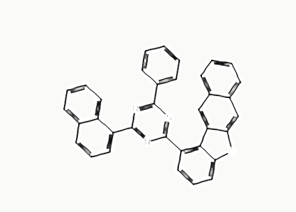 c1ccc(-c2nc(-c3cccc4ccccc34)nc(-c3cccc4oc5cc6ccccc6cc5c34)n2)cc1